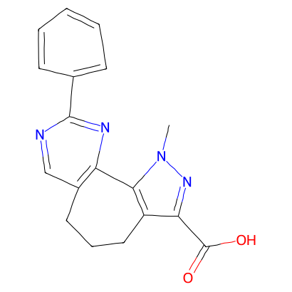 Cn1nc(C(=O)O)c2c1-c1nc(-c3ccccc3)ncc1CCC2